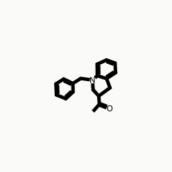 CC(=O)C1Cc2ccccc2N(Cc2ccccc2)C1